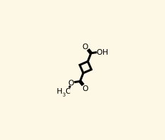 COC(=O)C1CC(C(=O)O)C1